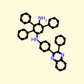 Nc1c(-c2ccccc2)cc(Nc2ccc(-c3nc4ccccc4nc3-c3ccccc3)cc2)c(-c2ccccc2)c1-c1ccccc1